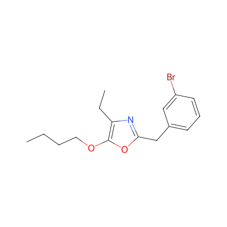 CCCCOc1oc(Cc2cccc(Br)c2)nc1CC